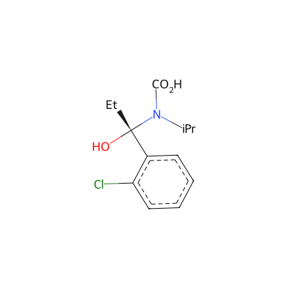 CC[C@](O)(c1ccccc1Cl)N(C(=O)O)C(C)C